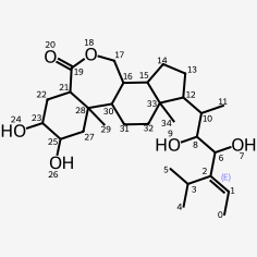 C/C=C(\C(C)C)C(O)C(O)C(C)C1CCC2C3COC(=O)C4CC(O)C(O)CC4(C)C3CCC12C